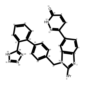 CCCc1nc2ccc(-c3ccc(=O)[nH]n3)cc2n1Cc1ccc(-c2ccccc2-c2nnn[nH]2)cc1